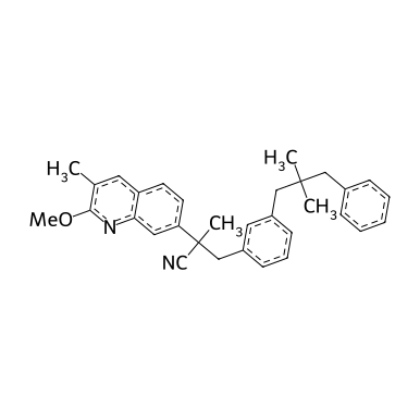 COc1nc2cc(C(C)(C#N)Cc3cccc(CC(C)(C)Cc4ccccc4)c3)ccc2cc1C